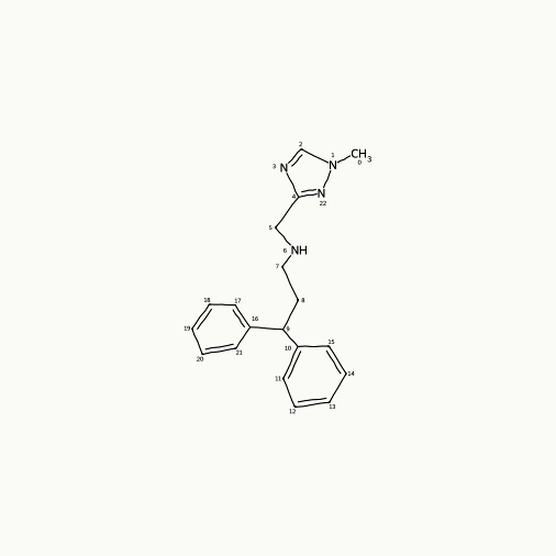 Cn1cnc(CNCCC(c2ccccc2)c2ccccc2)n1